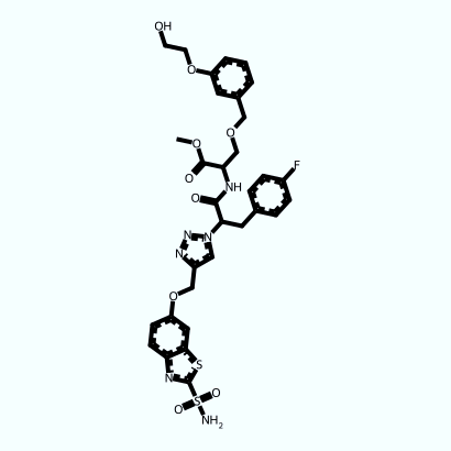 COC(=O)C(COCc1cccc(OCCO)c1)NC(=O)C(Cc1ccc(F)cc1)n1cc(COc2ccc3nc(S(N)(=O)=O)sc3c2)nn1